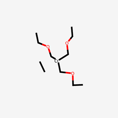 CC.CCO[CH2][Cr]([CH2]OCC)[CH2]OCC